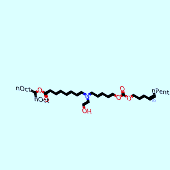 CCCCC/C=C\CCCOC(=O)OCCCCCN(CCO)CCCCCCCC(=O)OC(CCCCCCCC)CCCCCCCC